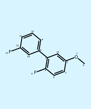 COc1ccc(F)c(-c2cccc(F)c2)c1